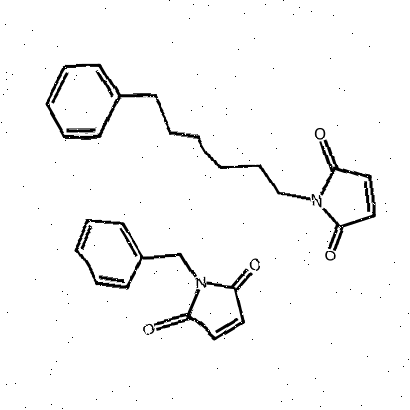 O=C1C=CC(=O)N1CCCCCCc1ccccc1.O=C1C=CC(=O)N1Cc1ccccc1